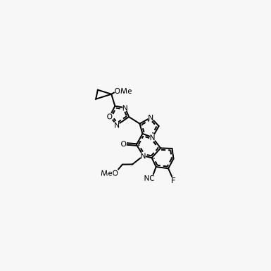 COCCn1c(=O)c2c(-c3noc(C4(OC)CC4)n3)ncn2c2ccc(F)c(C#N)c21